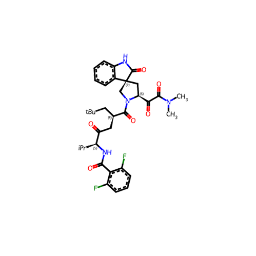 CC(C)[C@H](NC(=O)c1c(F)cccc1F)C(=O)C[C@@H](CC(C)(C)C)C(=O)N1C[C@]2(C[C@H]1C(=O)C(=O)N(C)C)C(=O)Nc1ccccc12